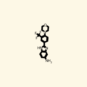 Nc1ccc2[nH]c(-c3ccc(N4CCOCC4)c(C(F)(F)F)c3)nc2c1